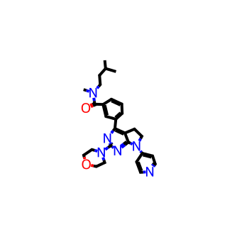 CC(C)CCN(C)C(=O)c1cccc(-c2nc(N3CCOCC3)nc3c2CCN3c2ccncc2)c1